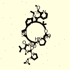 CCn1c(-c2cccnc2[C@H](C)OC)c2c3cc(ccc31)-c1csc(n1)C[C@H](NC(=O)[C@H](C(C)C)N(C)C(=O)N1CCC[C@@H]1CN(C)C)C(=O)N1CCC[C@@](O)(N1)C(=O)OCC(C)(C)C2